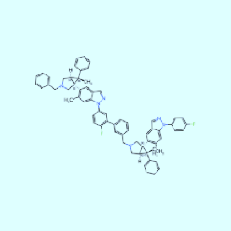 Cc1cc2c(cnn2-c2ccc(F)cc2)cc1[C@@]12CN(Cc3cccc(-c4cc(-n5ncc6cc([C@]78CN(Cc9ccccc9)C[C@H]7[C@]8(C)c7ccccc7)c(C)cc65)ccc4F)c3)C[C@@H]1[C@@]2(C)c1ccccc1